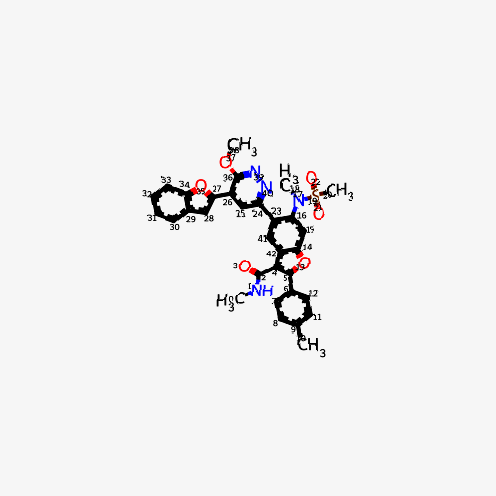 CNC(=O)c1c(-c2ccc(C)cc2)oc2cc(N(C)S(C)(=O)=O)c(-c3cc(-c4cc5ccccc5o4)c(OC)nn3)cc12